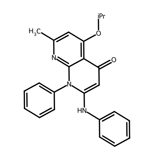 Cc1cc(OC(C)C)c2c(=O)cc(Nc3ccccc3)n(-c3ccccc3)c2n1